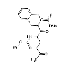 COC(=O)[C@@H]1Cc2ccccc2CN1C(=O)C(CCC(N)=O)NC(=O)OC(C)(C)C